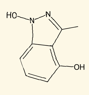 Cc1nn(O)c2cccc(O)c12